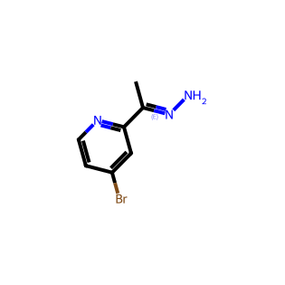 C/C(=N\N)c1cc(Br)ccn1